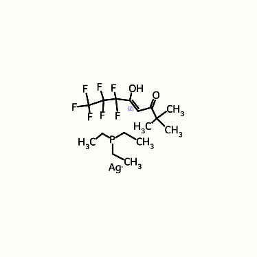 CC(C)(C)C(=O)/C=C(\O)C(F)(F)C(F)(F)C(F)(F)F.CCP(CC)CC.[Ag]